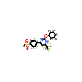 CS(=O)(=O)c1ccc(-c2cc(C(F)(F)F)nc(OC3CCCCC3)n2)cc1